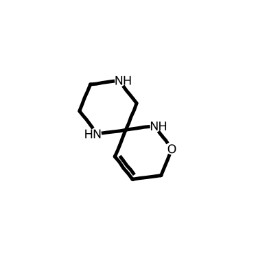 C1=CC2(CNCCN2)NOC1